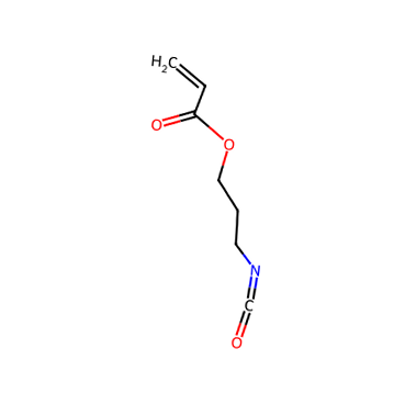 C=CC(=O)OCCCN=C=O